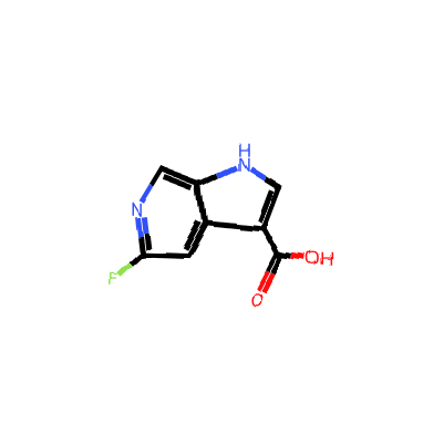 O=C(O)c1c[nH]c2cnc(F)cc12